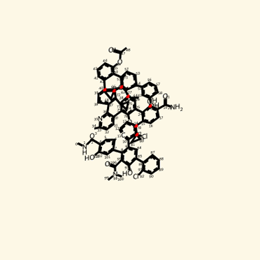 CNC(=O)c1ccc(-c2c(-c3cccc(-c4ccc(C(N)=O)c(O)c4-c4cccc(-c5ccc(C)nc5-c5ccc(-c6cccc(OC(C)=O)c6-c6ccc(-c7cccc(O)c7)c(OC)c6C6CC6)c(OC)c5C5CC5)c4OCC4CC4)c3Cl)[c]c(-c3ccccc3Cl)c(O)c2C(=O)N(C)C)cc1O